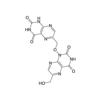 O=c1[nH]c(=O)c2nc(COn3c(=O)[nH]c(=O)c4nc(CO)cnc43)cnc2[nH]1